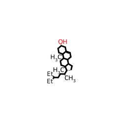 CCC(CC)CC[C@@H](C)[C@H]1CCC2C3CC=C4C[C@@H](O)CC[C@]4(C)C3CC[C@@]21C